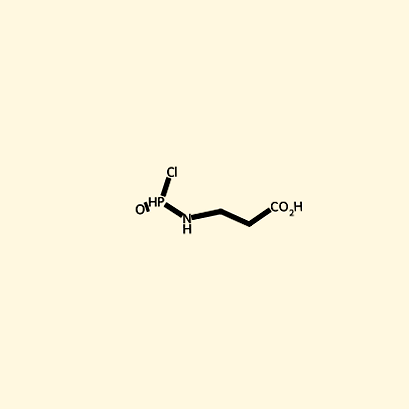 O=C(O)CCN[PH](=O)Cl